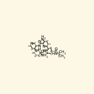 CC(C)NC(=O)c1ccc(F)c(-c2ccc(N)c(C(=O)Nc3cnccc3N3CCCC(C)(N)C3)n2)c1